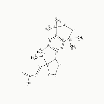 COC1(/C=C/C(=O)O)CCCC1c1cc2c(cc1C)C(C)(C)CCC2(C)C